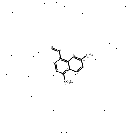 C=Cc1ccc(C(=O)OCC)c2ccc(OC)nc12